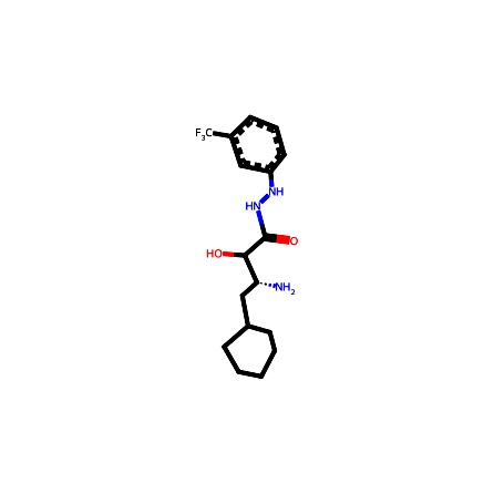 N[C@H](CC1CCCCC1)C(O)C(=O)NNc1cccc(C(F)(F)F)c1